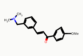 COc1ccc(C(=O)C=Cc2cccc(CN(C)C)c2)cc1